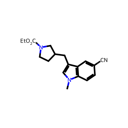 CCOC(=O)N1CCC(Cc2cn(C)c3ccc(C#N)cc23)C1